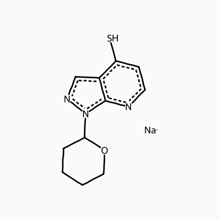 Sc1ccnc2c1cnn2C1CCCCO1.[Na]